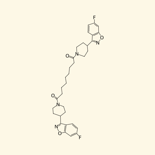 O=C(CCCCCCCC(=O)N1CCC(c2noc3cc(F)ccc23)CC1)N1CCC(c2noc3cc(F)ccc23)CC1